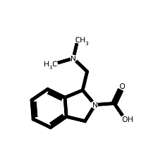 CN(C)CC1c2ccccc2CN1C(=O)O